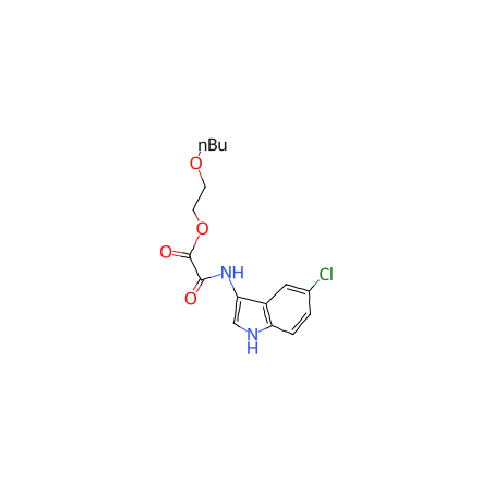 CCCCOCCOC(=O)C(=O)Nc1c[nH]c2ccc(Cl)cc12